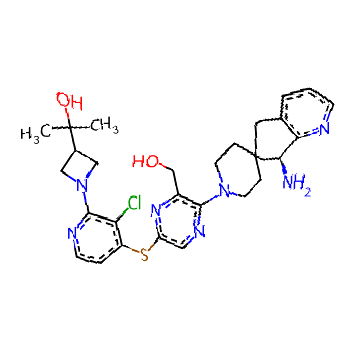 CC(C)(O)C1CN(c2nccc(Sc3cnc(N4CCC5(CC4)Cc4cccnc4[C@H]5N)c(CO)n3)c2Cl)C1